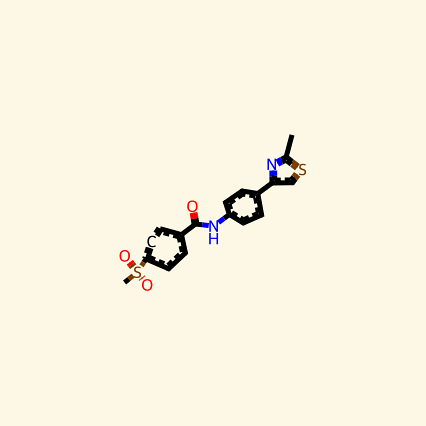 Cc1nc(-c2ccc(NC(=O)c3ccc(S(C)(=O)=O)cc3)cc2)cs1